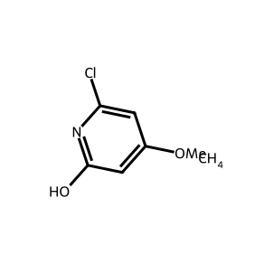 C.COc1cc(O)nc(Cl)c1